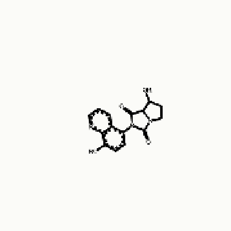 N#Cc1ccc(N2C(=O)C3C(O)CCN3C2=O)c2cccnc12